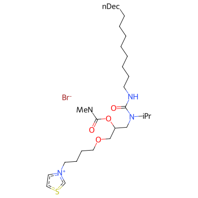 CCCCCCCCCCCCCCCCCCNC(=O)N(CC(COCCCC[n+]1ccsc1)OC(=O)NC)C(C)C.[Br-]